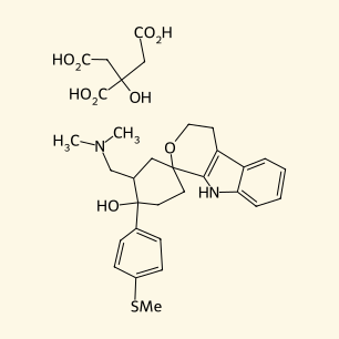 CSc1ccc(C2(O)CCC3(CC2CN(C)C)OCCc2c3[nH]c3ccccc23)cc1.O=C(O)CC(O)(CC(=O)O)C(=O)O